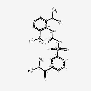 CC(C)c1cccc(C(C)C)c1NC(=O)NS(=O)(=O)c1cc(C(=O)N(C)C)cnn1